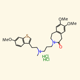 COc1ccc2c(CCN(C)CCCN3CCc4cc(OC)c(OC)cc4CC3=O)csc2c1.Cl.Cl